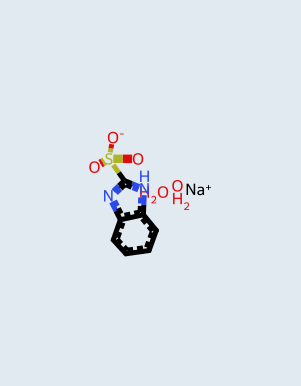 O.O.O=S(=O)([O-])c1nc2ccccc2[nH]1.[Na+]